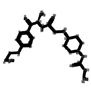 CCOC(=O)COc1ccc(C(=O)[C@H](C)NC(=O)COC2CCN(OC(=O)OC(C)(C)C)CC2)cc1